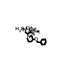 CI.Cc1nc2n(c1CN(C)C)CCCC2OCc1ccccc1